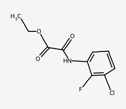 CCOC(=O)C(=O)Nc1cccc(Cl)c1F